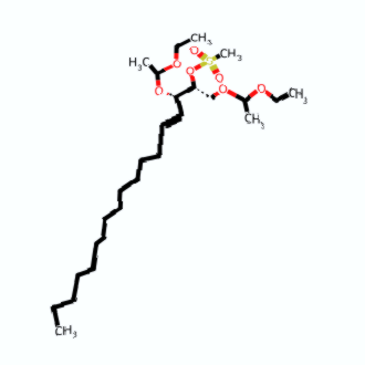 CCCCCCCCCCCCCC=C[C@H](OC(C)OCC)[C@@H](COC(C)OCC)OS(C)(=O)=O